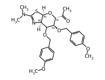 COc1ccc(COC2[C@H]3N=C(N(C)C)S[C@H]3O[C@H](C(C)=O)[C@H]2OCc2ccc(OC)cc2)cc1